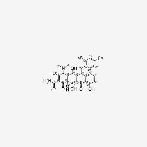 CN(C)C1C(O)=C(C(N)=O)C(=O)C2(O)C(O)=C3C(=O)c4c(O)cccc4C(Cc4ccc(F)cc4F)C3C(O)C12